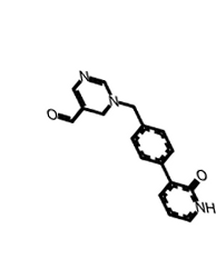 O=CC1=CN=CN(Cc2ccc(-c3ccc[nH]c3=O)cc2)C1